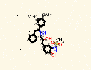 COc1ccc(C(Cc2ccccc2)NC[C@@H](O)Cc2ccc(O)c(NS(C)(=O)=O)c2)cc1OC